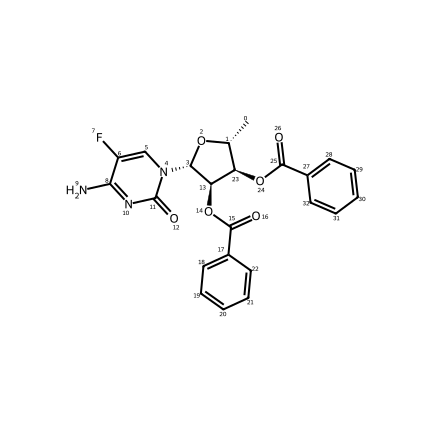 C[C@H]1O[C@@H](n2cc(F)c(N)nc2=O)[C@H](OC(=O)c2ccccc2)[C@@H]1OC(=O)c1ccccc1